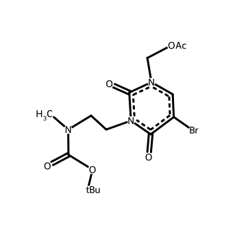 CC(=O)OCn1cc(Br)c(=O)n(CCN(C)C(=O)OC(C)(C)C)c1=O